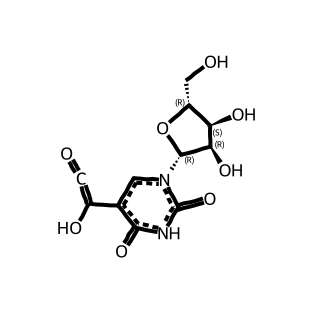 O=C=C(O)c1cn([C@@H]2O[C@H](CO)[C@@H](O)[C@H]2O)c(=O)[nH]c1=O